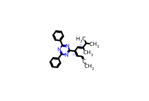 C=C=C/C=C(\C=C(/C)C(C)C)c1nc(-c2ccccc2)nc(-c2ccccc2)n1